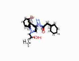 CC(O)Cn1cc(NC(=O)CC2CCCCC2)c2c(Br)cccc21